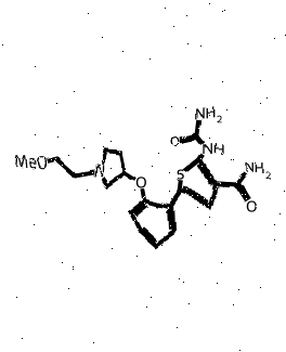 COCCN1CCC(Oc2ccccc2-c2cc(C(N)=O)c(NC(N)=O)s2)C1